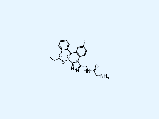 CCCSCc1nnc(CNC(=O)CN)n1-c1ccc(Cl)cc1C(=O)c1ccccc1Cl